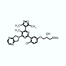 CNC[C@@H](O)COc1ccc(Cl)c(-c2nc(-c3c(C)noc3C)c(C)c(N3Cc4nccnc4C3)n2)c1